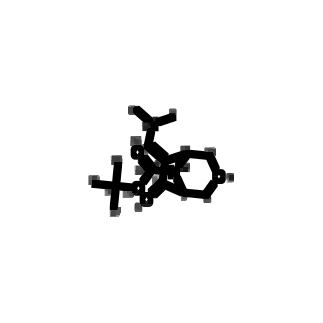 CN(C)/C=C1/C(=O)C2COCC1N2C(=O)OC(C)(C)C